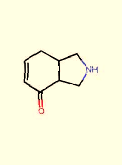 O=C1C=CCC2CNCC12